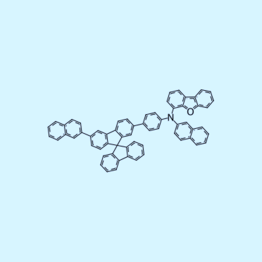 c1ccc2c(c1)-c1ccccc1C21c2ccc(-c3ccc4ccccc4c3)cc2-c2ccc(-c3ccc(N(c4ccc5ccccc5c4)c4cccc5c4oc4ccccc45)cc3)cc21